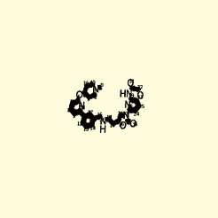 CN1CCC(Oc2cccc(-c3cccc(CNCCC4CN(c5ccc6c(n5)NC(=O)CO6)C(=O)O4)c3)n2)CC1